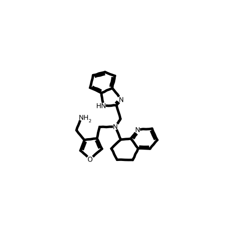 NCc1cocc1CN(Cc1nc2ccccc2[nH]1)C1CCCc2cccnc21